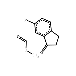 COC=O.O=C1CCc2ccc(Br)cc21